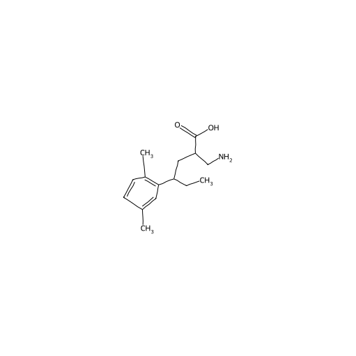 CCC(CC(CN)C(=O)O)c1cc(C)ccc1C